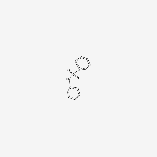 O=S(=O)(Nc1cc[c]cc1)c1ccccc1